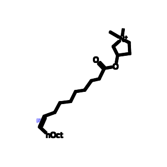 CCCCCCCC/C=C\CCCCCCCC(=O)OC1CC[N+](C)(C)C1